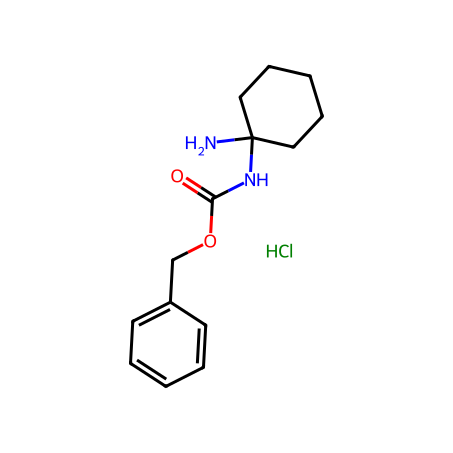 Cl.NC1(NC(=O)OCc2ccccc2)CCCCC1